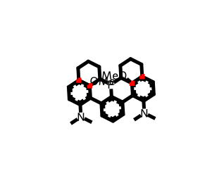 COc1cccc(N(C)C)c1-c1cccc(-c2c(OC)cccc2N(C)C)c1P(C1CCCCC1)C1CCCCC1